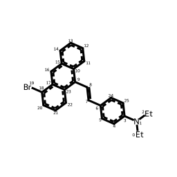 CCN(CC)c1ccc(C=Cc2c3ccccc3cc3c(Br)cccc23)cc1